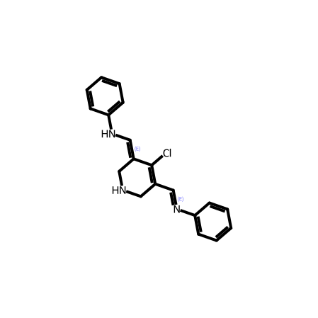 ClC1=C(/C=N/c2ccccc2)CNC/C1=C\Nc1ccccc1